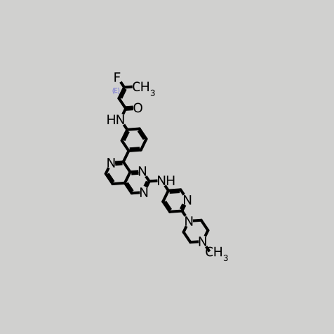 C/C(F)=C\C(=O)Nc1cccc(-c2nccc3cnc(Nc4ccc(N5CCN(C)CC5)nc4)nc23)c1